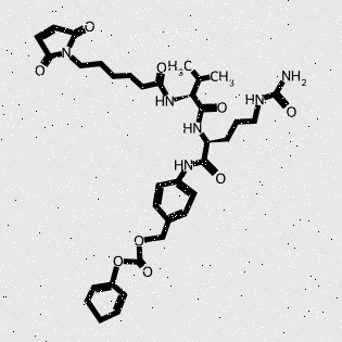 CC(C)[C@H](NC(=O)CCCCCN1C(=O)C=CC1=O)C(=O)N[C@@H](CCCNC(N)=O)C(=O)Nc1ccc(COC(=O)OC2=CCCC=C2)cc1